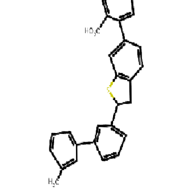 Cc1cccc(-c2cccc(C3Cc4ccc(-c5ccccc5C(=O)O)cc4S3)c2)c1